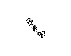 Cn1cnc2ncn(Cc3nn(CCc4ccc(Br)c(Cl)c4)c(=O)o3)c(=O)c21